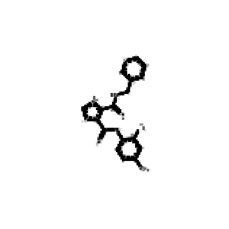 Cc1ccc(NC(=O)c2nc[nH]c2C(=O)NCc2cccnc2)c(C)c1